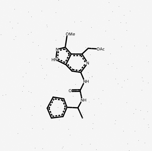 COc1n[nH]c2cc(NC(=O)NC(C)c3ccccc3)nc(COC(C)=O)c12